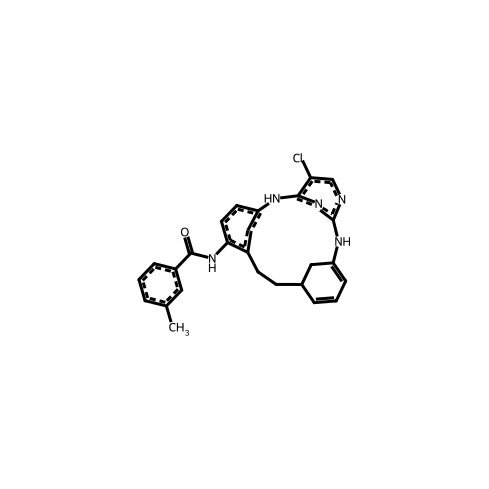 Cc1cccc(C(=O)Nc2ccc3cc2CCC2C=CC=C(C2)Nc2ncc(Cl)c(n2)N3)c1